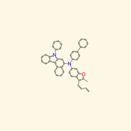 C=C/C=C\c1c(C)oc2cc(N(c3ccc(-c4ccccc4)cc3)c3cc4c(c5ccccc35)c3ccccc3n4-c3ccccc3)ccc12